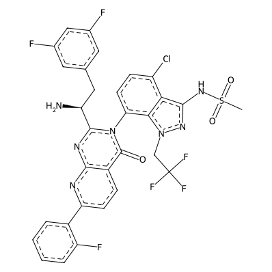 CS(=O)(=O)Nc1nn(CC(F)(F)F)c2c(-n3c([C@@H](N)Cc4cc(F)cc(F)c4)nc4nc(-c5ccccc5F)ccc4c3=O)ccc(Cl)c12